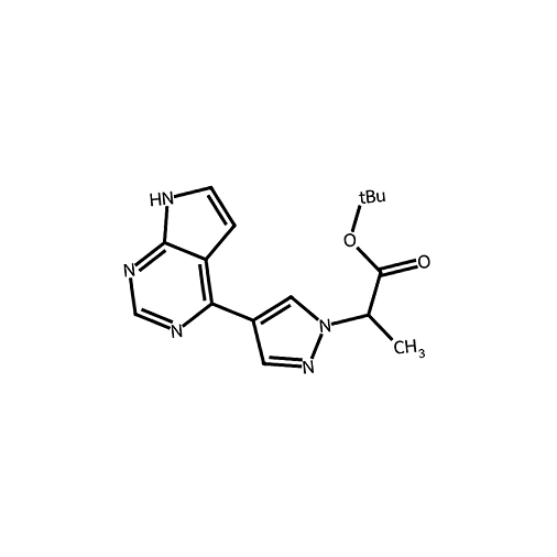 CC(C(=O)OC(C)(C)C)n1cc(-c2ncnc3[nH]ccc23)cn1